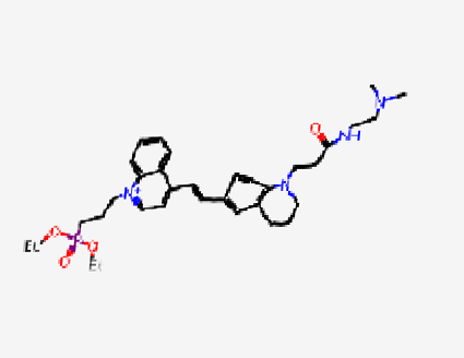 CCOP(=O)(CCC[n+]1ccc(C=Cc2ccc3c(c2)CCCN3CCC(=O)NCCN(C)C)c2ccccc21)OCC